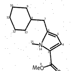 COC(=O)c1ccc(CC2CCCCC2)n1C